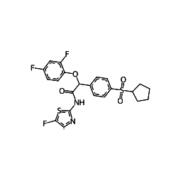 O=C(Nc1n[c]c(F)s1)C(Oc1ccc(F)cc1F)c1ccc(S(=O)(=O)C2CCCC2)cc1